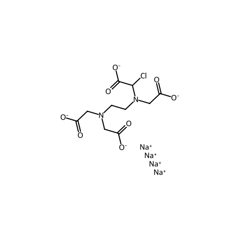 O=C([O-])CN(CCN(CC(=O)[O-])C(Cl)C(=O)[O-])CC(=O)[O-].[Na+].[Na+].[Na+].[Na+]